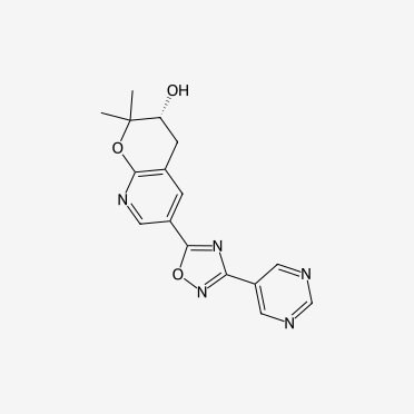 CC1(C)Oc2ncc(-c3nc(-c4cncnc4)no3)cc2C[C@H]1O